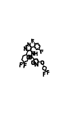 O=C(Nc1c(-c2cc(F)ccc2F)ncnc1C1CCC(F)(F)CO1)c1cc(OC2CC(F)(F)C2)no1